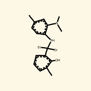 CCC(CC)(Pc1ccc(C)cc1N(C)C)c1cccc(C)c1O